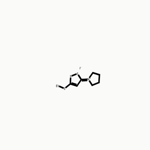 CCSc1cc(=[N+]2CCCC2)ss1.[I-]